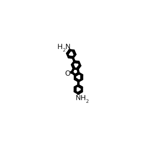 Nc1ccc(-c2ccc3c(c2)C(=O)c2cc(-c4ccc(N)cc4)ccc2-3)cc1